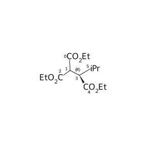 CCOC(=O)C(C(=O)OCC)[C@H](C(=O)OCC)C(C)C